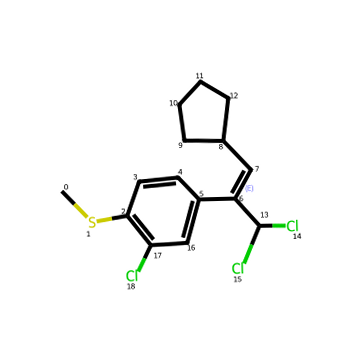 CSc1ccc(/C(=C\C2CCCC2)C(Cl)Cl)cc1Cl